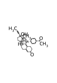 CC#C[C@]1(O)CC[C@H]2[C@@H]3CCC4=CC(=O)CCC4=C3[C@@H](c3ccc(C(C)=O)cc3)C[C@@]21C